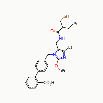 CCCOc1nc(CC)c(CNC(=O)C(CS)CC(C)C)n1Cc1ccc(-c2ccccc2C(=O)O)cc1